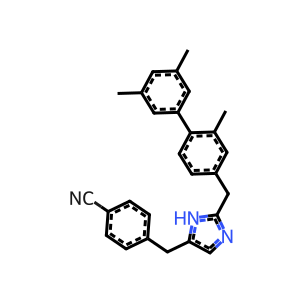 Cc1cc(C)cc(-c2ccc(Cc3ncc(Cc4ccc(C#N)cc4)[nH]3)cc2C)c1